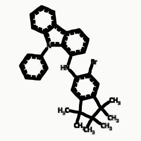 CC1(C)c2cc(Br)c(Nc3cccc4c5ccccc5n(-c5ccccc5)c34)cc2C(C)(C)C1(C)C